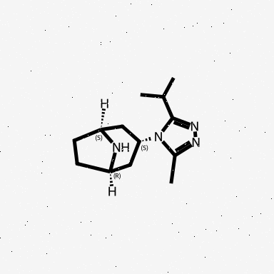 Cc1nnc(C(C)C)n1[C@@H]1C[C@H]2CC[C@@H](C1)N2